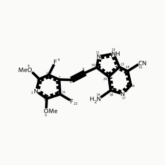 COc1nc(OC)c(F)c(C#Cc2n[nH]c3c(C#N)cnc(N)c23)c1F